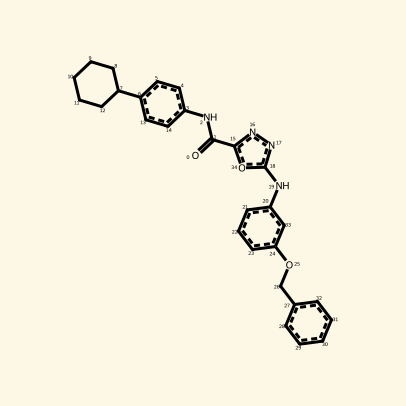 O=C(Nc1ccc(C2CCCCC2)cc1)c1nnc(Nc2cccc(OCc3ccccc3)c2)o1